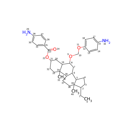 CCC1CCC2C3CC(OCOc4ccc(N)cc4)C4CC(OC(=O)c5ccc(N)cc5)CCC4(C)C3CCC12C